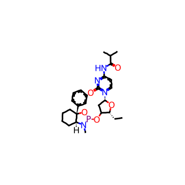 CC[C@H]1O[C@@H](n2ccc(NC(=O)C(C)C)nc2=O)CC1O[P@]1O[C@@]2(c3ccccc3)CCCC[C@@H]2N1C